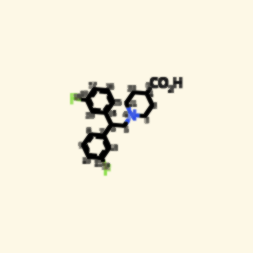 O=C(O)C1CCN(CC(c2cccc(F)c2)c2cccc(F)c2)CC1